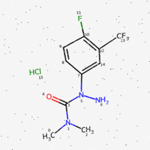 CN(C)C(=O)N(N)c1ccc(F)c(C(F)(F)F)c1.Cl